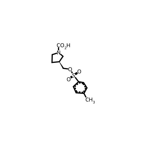 Cc1ccc(S(=O)(=O)OC[C@H]2CCN(C(=O)O)C2)cc1